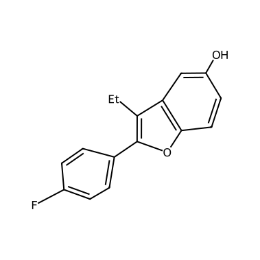 [CH2]Cc1c(-c2ccc(F)cc2)oc2ccc(O)cc12